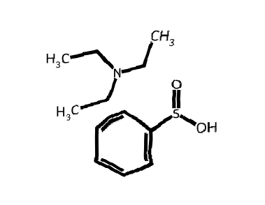 CCN(CC)CC.O=S(O)c1ccccc1